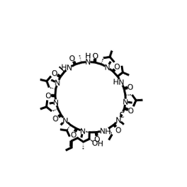 C/C=C/C[C@@H](C)[C@@H](O)[C@H]1C(=O)N[C@@H](CC)C(=O)N(C)CC(=O)N(C)[C@@H](CC(C)C)C(=O)NC(C(C)C)C(=O)N(C)[C@@H](CC(C)C)C(=O)N[C@@H](C)C(=O)N[C@H](C)C(=O)N(C)[C@@H](CC(C)C)C(=O)N(C)[C@@H](CC(C)C)C(=O)N(C)[C@@H](C(C)C)C(=O)N1C